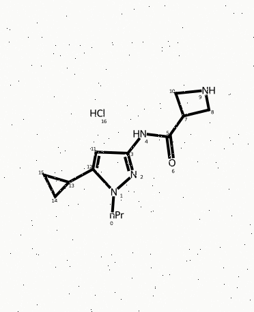 CCCn1nc(NC(=O)C2CNC2)cc1C1CC1.Cl